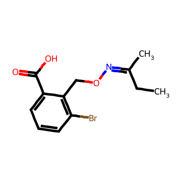 CCC(C)=NOCc1c(Br)cccc1C(=O)O